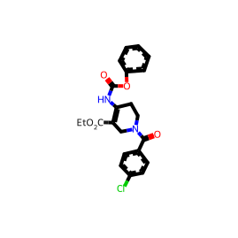 CCOC(=O)C1=C(NC(=O)Oc2ccccc2)CCN(C(=O)c2ccc(Cl)cc2)C1